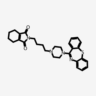 O=C1C2=C(CCCC2)C(=O)N1CCCCN1CCN(C2=Nc3ccccc3Sc3ccccc32)CC1